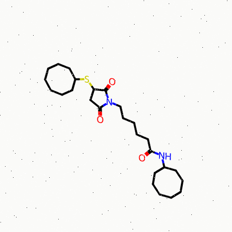 O=C(CCCCCN1C(=O)CC(SC2CCCCCCC2)C1=O)NC1CCCCCCC1